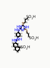 O=S(=O)(O)CCCSC1N=C(Nc2ccc(NNc3ccc4cccc(S(=O)(=O)O)c4c3)cc2)NC(SCCCS(=O)(=O)O)N1